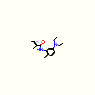 C/C=C(\C)C(=O)Nc1cc(N(CC)CC)ccc1C